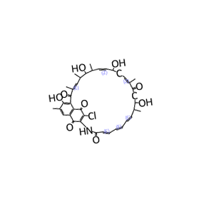 C/C1=C/CC(O)/C=C\C(C)C(O)C(C)/C=C(\C)C(=O)c2c(O)c(C)cc3c2C(=O)C(Cl)=C(NC(=O)/C=C/C=C/C=C/C(C)C(O)CC1=O)C3=O